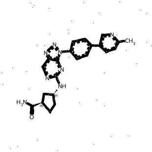 Cc1ccc(-c2ccc(-n3nnc4cnc(N[C@@H]5CC[C@@H](C(N)=O)C5)nc43)cc2)cn1